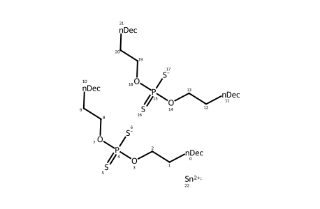 CCCCCCCCCCCCOP(=S)([S-])OCCCCCCCCCCCC.CCCCCCCCCCCCOP(=S)([S-])OCCCCCCCCCCCC.[Sn+2]